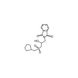 O=C1c2ccccc2C(=O)N1CC(O)CS(=O)(=O)CC1CCCC1